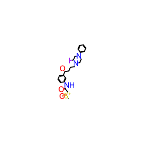 C[S+]([O-])CC(=O)Nc1cccc(C(=O)CCCN2CCN(c3ccccc3)CC2I)c1